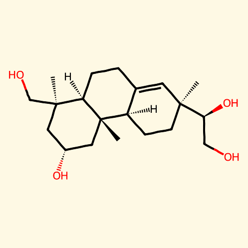 C[C@@]1(CO)C[C@@H](O)C[C@@]2(C)[C@@H]3CC[C@](C)([C@@H](O)CO)C=C3CC[C@H]12